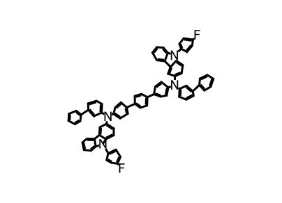 Fc1ccc(-n2c3ccccc3c3cc(N(c4ccc(-c5ccc(-c6ccc(N(c7cccc(-c8ccccc8)c7)c7ccc8c(c7)c7ccccc7n8-c7ccc(F)cc7)cc6)cc5)cc4)c4cccc(-c5ccccc5)c4)ccc32)cc1